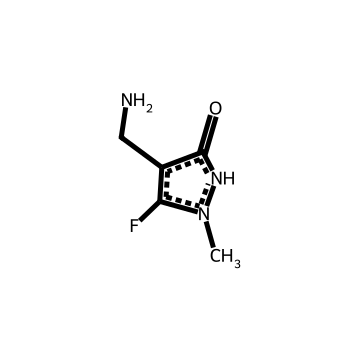 Cn1[nH]c(=O)c(CN)c1F